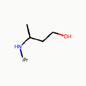 CC(C)NC(C)CCO